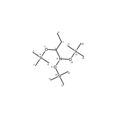 CCC(O[Si](C)(C)C)N(O[Si](C)(C)C)O[Si](C)(C)C